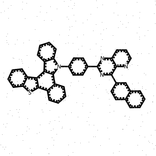 c1ccc2cc(-c3nc(-c4ccc(-n5c6ccccc6c6c7c8ccccc8sc7c7ccccc7c65)cc4)nc4cccnc34)ccc2c1